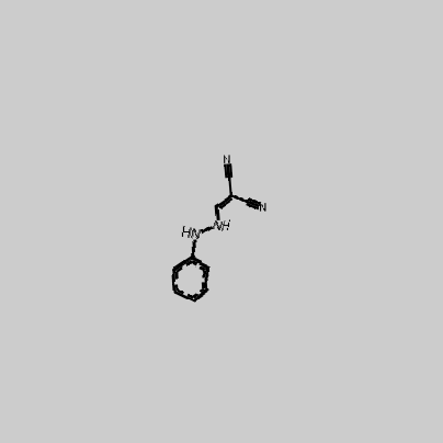 N#CC(C#N)=CNNc1ccccc1